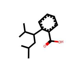 CC(C)CC(c1ccccc1C(=O)O)C(C)C